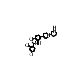 CC(Nc1cc(C2=CCN([C@H]3CCCNC3)CC2)ccc1Cl)c1ccc(Cl)cc1Cl